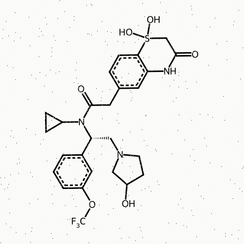 O=C1CS(O)(O)c2ccc(CC(=O)N(C3CC3)[C@H](CN3CCC(O)C3)c3cccc(OC(F)(F)F)c3)cc2N1